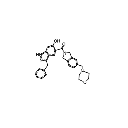 O=C(c1cc2c(Cc3ccccc3)n[nH]c2cc1O)N1Cc2ccc(CN3CCOCC3)cc2C1